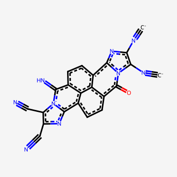 [C-]#[N+]c1nc2c3ccc4c(=N)n5c(C#N)c(C#N)nc5c5ccc(c(=O)n2c1[N+]#[C-])c3c45